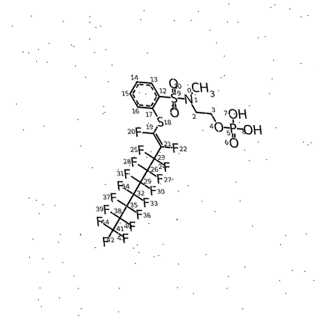 CN(CCOP(=O)(O)O)S(=O)(=O)c1ccccc1SC(F)=C(F)C(F)(F)C(F)(F)C(F)(F)C(F)(F)C(F)(F)C(F)(F)C(F)(F)F